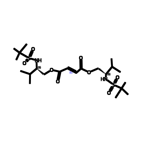 CC(C)[C@@H](COC(=O)/C=C/C(=O)OC[C@@H](NS(=O)(=O)C(C)(C)C)C(C)C)NS(=O)(=O)C(C)(C)C